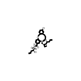 C=CC[C@@H](CC)S(=O)(=O)NC(=O)c1ccc2c(c1)N(C[C@@H]1CC[C@H]1[C@@H](O)CC=C)CCCCc1cc(Cl)ccc1CO2